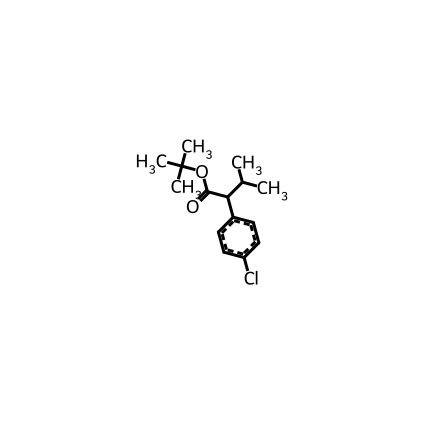 CC(C)C(C(=O)OC(C)(C)C)c1ccc(Cl)cc1